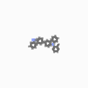 Cc1ccccc1-n1c2ccccc2c2cc(-c3ccc4[nH]c5ccccc5c4c3)ccc21